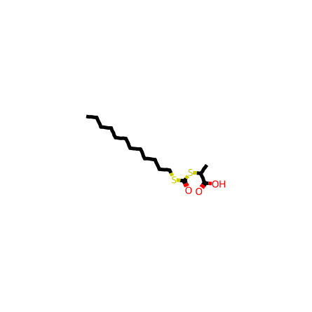 CCCCCCCCCCCCSC(=O)SC(C)C(=O)O